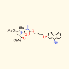 COC(=O)[C@@H]1C[C@@H](OC)CN1C(=O)[C@@H](NC(=O)OCC=CCOc1ccc2c(c1)C(=N)c1ccccc1-2)C(C)(C)C